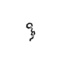 CCCN1CCC(CCN2CCCCCC2)C1